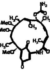 CO[C@H]1[C@@H](OC)C[C@H](C)[C@@H](OC)C2=CC(=O)C=C(NC(=O)/C(C)=C/C=C\[C@@H](C)[C@@H](OC(N)=O)/C(C)=C/[C@@H]1C)C2=O